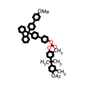 COc1ccc(-c2ccc(C3(c4ccc(-c5ccc(OC(=O)Oc6ccc(C(C)(C)c7ccc(OC(C)=O)c(C)c7)cc6C)cc5)cc4)c4ccccc4-c4ccccc43)cc2)cc1